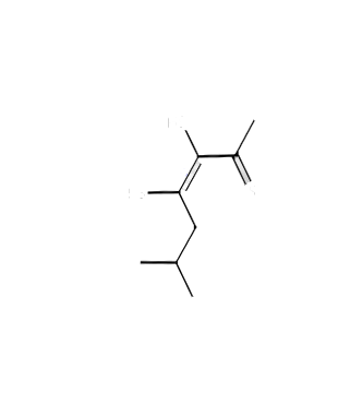 CC(=S)/C(S)=C(/S)CC(C)C